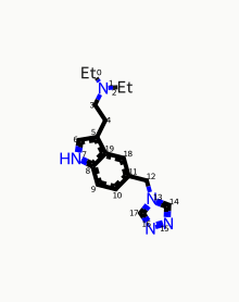 CCN(CC)CCc1c[nH]c2ccc(Cn3cnnc3)cc12